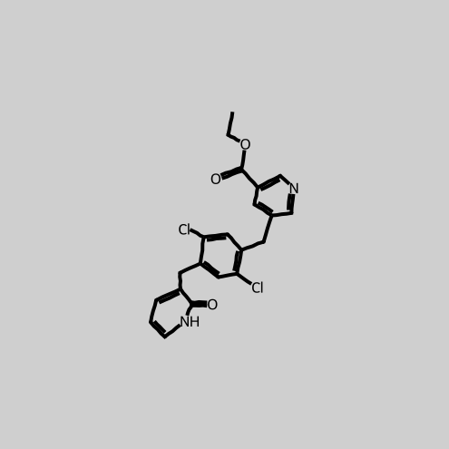 CCOC(=O)c1cncc(Cc2cc(Cl)c(Cc3ccc[nH]c3=O)cc2Cl)c1